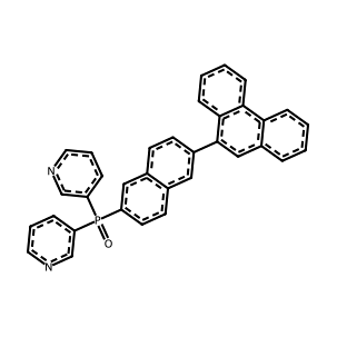 O=P(c1cccnc1)(c1cccnc1)c1ccc2cc(-c3cc4ccccc4c4ccccc34)ccc2c1